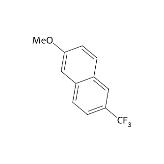 COc1ccc2cc(C(F)(F)F)ccc2c1